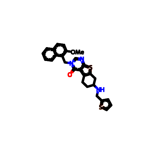 COc1ccc2ccccc2c1Cn1cnc2sc3c(c2c1=O)CCC(NCc1cccs1)C3